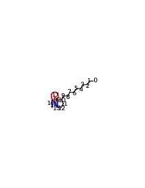 CCCCCCCCCCC1CCCN(C)C1=O